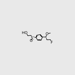 CO[C@@H](CCF)c1ccc([S+]([O-])CCO)cc1